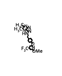 COc1cc(C(F)(F)F)cc(Oc2ccc(CCNc3ncnc4nc(C)c(C)nc34)cc2)n1